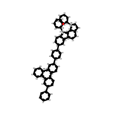 c1ccc(-c2ccc3c4ccc(-c5ccc(-c6ccc7c(c6)c6ccc8ccn(-c9ccccc9)c8c6n7-c6ccccc6)cc5)cc4c4ccccc4c3c2)cc1